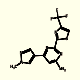 Cn1cc(-c2cc(N)nc(-c3nc(C(F)(F)F)cs3)n2)cn1